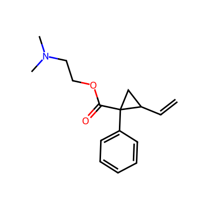 C=CC1CC1(C(=O)OCCN(C)C)c1ccccc1